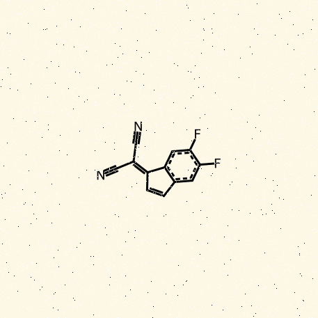 N#CC(C#N)=C1C=Cc2cc(F)c(F)cc21